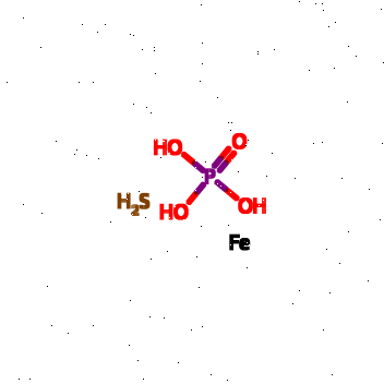 O=P(O)(O)O.S.[Fe]